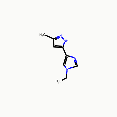 CCn1cnc(-c2cc(C)n[nH]2)c1